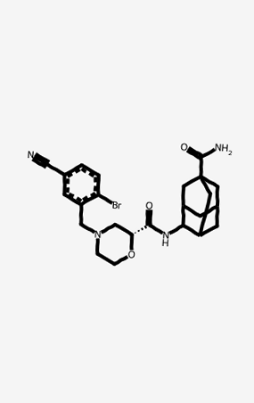 N#Cc1ccc(Br)c(CN2CCO[C@@H](C(=O)NC3C4CC5CC3CC(C(N)=O)(C5)C4)C2)c1